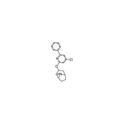 Clc1cc(OC2CC3CCC(C2)N3)nc(-c2ccccc2)c1